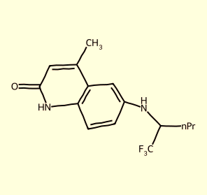 CCCC(Nc1ccc2[nH]c(=O)cc(C)c2c1)C(F)(F)F